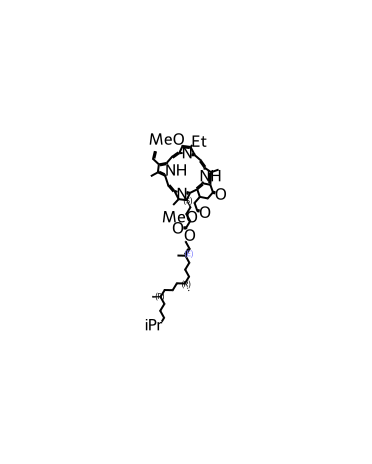 C=Cc1c(C)c2cc3nc(c4c5[nH]c(cc6nc(cc1[nH]2)C(OC)=C6CC)c(C)c5C(=O)CC4CC(=O)OC)[C@@H](CCCC(=O)OC/C=C(\C)CCC[C@H](C)CCC[C@H](C)CCCC(C)C)C3C